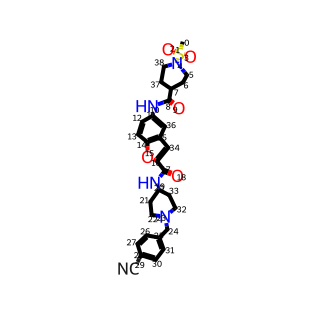 CS(=O)(=O)N1CCC(C(=O)Nc2ccc3oc(C(=O)NC4CCN(Cc5ccc(C#N)cc5)CC4)cc3c2)CC1